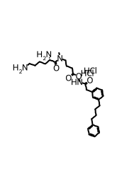 CN(CCCC(=O)ONC(=O)Cc1cccc(CCCCc2ccccc2)c1)C(=O)[C@@H](N)CCCCN.Cl.Cl